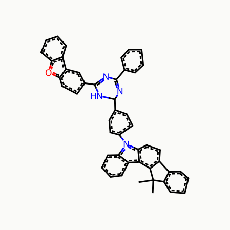 CC1(C)c2ccccc2-c2ccc3c(c21)c1ccccc1n3-c1ccc(C2N=C(c3ccccc3)N=C(c3ccc4oc5ccccc5c4c3)N2)cc1